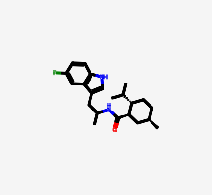 CC(Cc1c[nH]c2ccc(F)cc12)NC(=O)[C@@H]1C[C@H](C)CC[C@H]1C(C)C